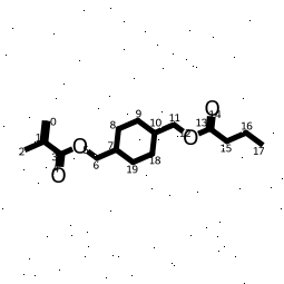 C=C(C)C(=O)OCC1CCC(COC(=O)CCC)CC1